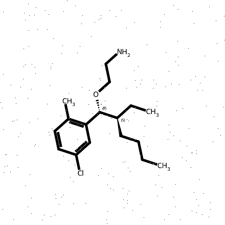 CCCC[C@H](CC)[C@@H](OCCN)c1cc(Cl)ccc1C